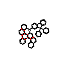 c1ccc(-c2ccccc2-c2ccccc2N(c2ccc3c(c2)C(c2ccccc2)(c2ccccc2)c2ccccc2-3)c2ccccc2-c2cccc(-c3cccc4ccccc34)c2)cc1